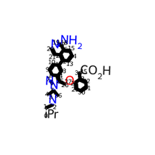 CC(C)CCN1CC(n2nc3ccc(-c4cccc5c(N)nccc45)cc3c2COc2ccccc2CC(=O)O)C1